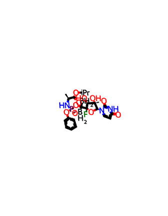 BC(B)(OP(=O)(N[C@@H](C)C(=O)OC(C)C)Oc1ccccc1)[C@@]1(F)O[C@@H](n2ccc(=O)[nH]c2=O)[C@](C)(O)[C@@H]1O